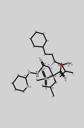 CC(C)CC(CCC1CCCCC1)[C@@H](C(=O)NOC1CCCCO1)[C@](CC(C)C)(C(=O)NN)S(C)(=O)=O